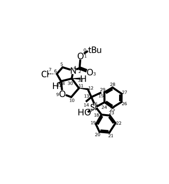 CC(C)(C)OC(=O)N1C[C@@H](Cl)[C@H]2OC[C@H](CC(C)(C)[Si](O)(c3ccccc3)c3ccccc3)[C@H]21